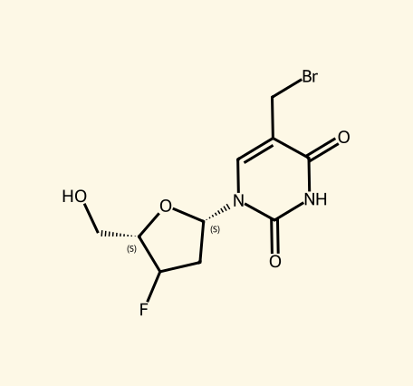 O=c1[nH]c(=O)n([C@@H]2CC(F)[C@H](CO)O2)cc1CBr